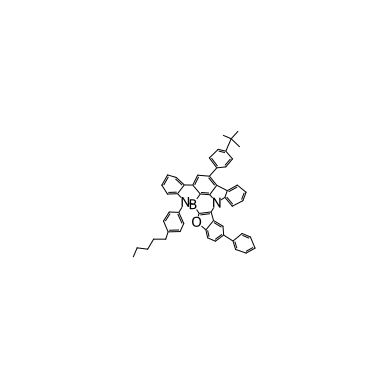 CCCCCc1ccc(N2B3c4oc5ccc(-c6ccccc6)cc5c4-n4c5ccccc5c5c(-c6ccc(C(C)(C)C)cc6)cc(c3c54)-c3ccccc32)cc1